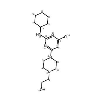 OCCN1CCN(c2cc(Cl)nc(NC3CCCCC3)n2)CC1